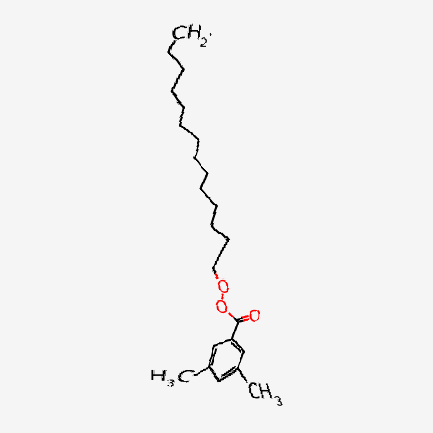 [CH2]CCCCCCCCCCCCCOOC(=O)c1cc(C)cc(C)c1